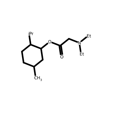 CCN(CC)CC(=O)OC1CC(C)CCC1C(C)C